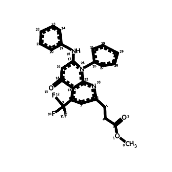 COC(=O)CCc1cc(C(F)(F)F)c2c(=O)cc(Nc3ccccc3)n(-c3ccccc3)c2n1